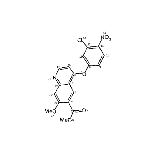 COC(=O)c1cc2c(Oc3ccc([N+](=O)[O-])c(Cl)c3)ccnc2cc1OC